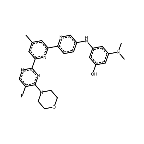 Cc1cc(-c2ccc(Nc3cc(O)cc(N(C)C)c3)cn2)nc(-c2ncc(F)c(N3CCOCC3)n2)c1